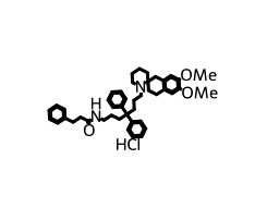 COc1cc2c(cc1OC)CC1(CCCCN1CCCC(CCCNC(=O)CCc1ccccc1)(c1ccccc1)c1ccccc1)CC2.Cl